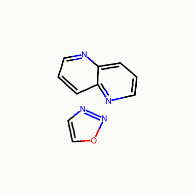 c1cnc2cccnc2c1.c1conn1